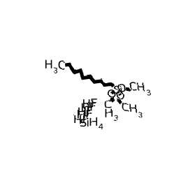 CCCCCCCCCC[Si](OCC)(OCC)OCC.F.F.F.F.F.[SiH4]